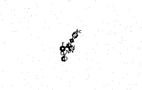 CC(=O)N1CCN([C@H]2C[C@H](n3cc(-c4cc(OC[C@@H]5CCCO5)ccc4F)c4c(N)ncnc43)C2)CC1